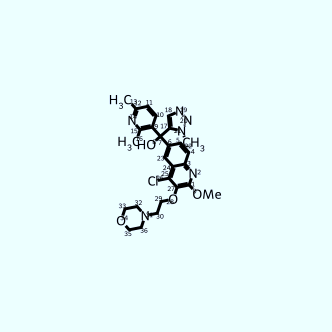 COc1nc2ccc(C(O)(c3ccc(C)nc3C)c3cnnn3C)cc2c(Cl)c1OCCN1CCOCC1